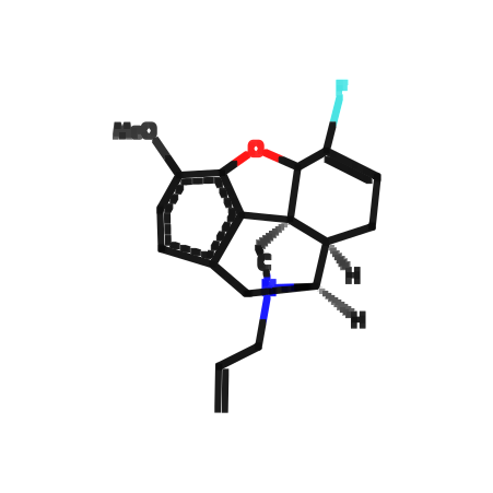 C=CCN1CC[C@]23c4c5ccc(OC)c4OC2C(F)=CC[C@H]3[C@H]1C5